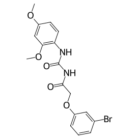 COc1ccc(NC(=O)NC(=O)COc2cccc(Br)c2)c(OC)c1